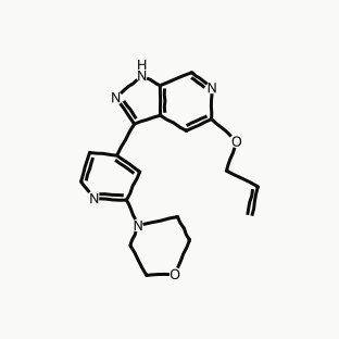 C=CCOc1cc2c(-c3ccnc(N4CCOCC4)c3)n[nH]c2cn1